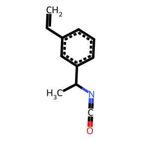 C=Cc1cccc(C(C)N=C=O)c1